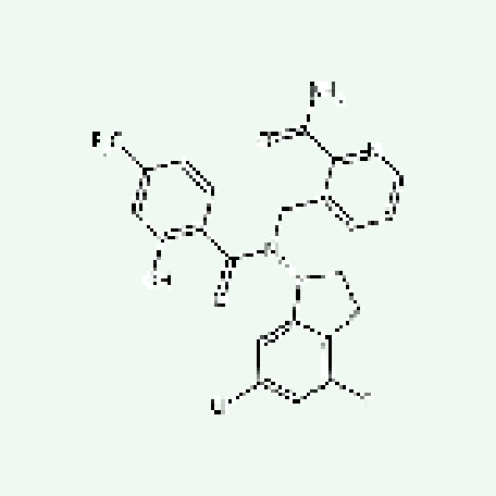 NC(=O)c1ncccc1CN(C(=O)c1ccc(C(F)(F)F)cc1O)[C@@H]1CCc2c(F)cc(Cl)cc21